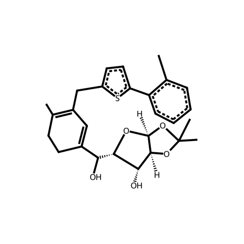 CC1=C(Cc2ccc(-c3ccccc3C)s2)C=C(C(O)[C@@H]2O[C@H]3OC(C)(C)O[C@H]3[C@@H]2O)CC1